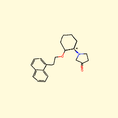 O=C1CCN([C@@H]2CCCCC2OCCc2cccc3ccccc23)C1